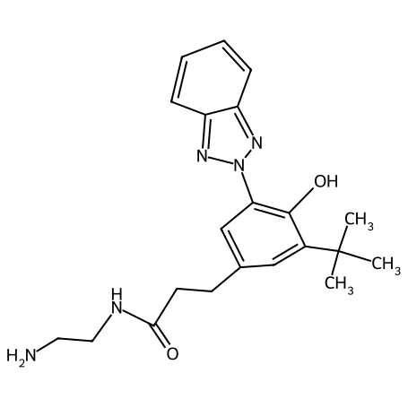 CC(C)(C)c1cc(CCC(=O)NCCN)cc(-n2nc3ccccc3n2)c1O